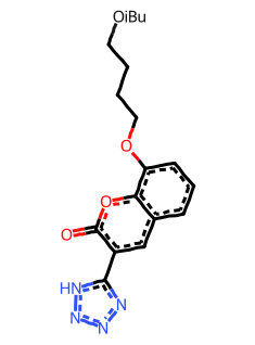 CC(C)COCCCCOc1cccc2cc(-c3nnn[nH]3)c(=O)oc12